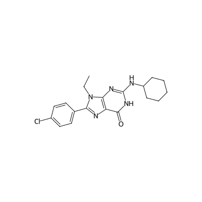 CCn1c(-c2ccc(Cl)cc2)nc2c(=O)[nH]c(NC3CCCCC3)nc21